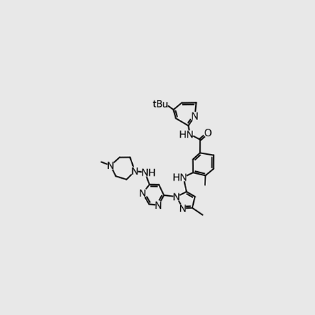 Cc1cc(Nc2cc(C(=O)Nc3cc(C(C)(C)C)ccn3)ccc2C)n(-c2cc(NN3CCN(C)CC3)ncn2)n1